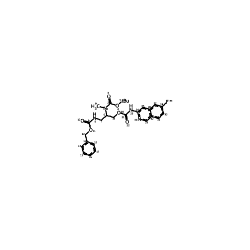 CN(C(=O)OC(C)(C)C)C(CNC(=O)OCc1ccccc1)COC(=O)Nc1cc2cc(F)ccc2cn1